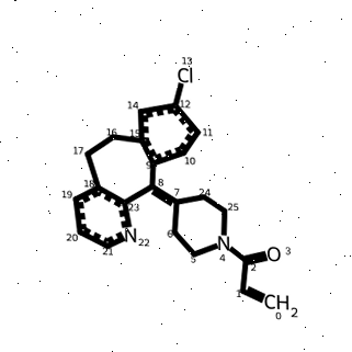 C=CC(=O)N1CCC(=C2c3ccc(Cl)cc3CCc3cccnc32)CC1